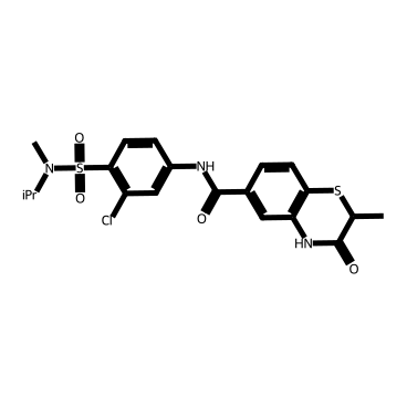 CC1Sc2ccc(C(=O)Nc3ccc(S(=O)(=O)N(C)C(C)C)c(Cl)c3)cc2NC1=O